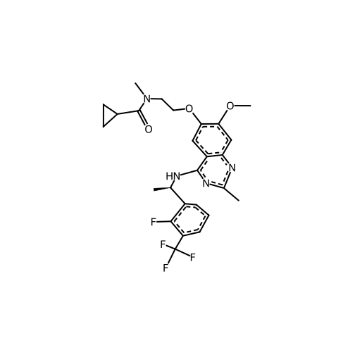 COc1cc2nc(C)nc(N[C@H](C)c3cccc(C(F)(F)F)c3F)c2cc1OCCN(C)C(=O)C1CC1